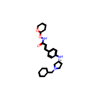 O=C(C=Cc1ccc(N[C@@H]2CCN(CC3CCCCC3)C2)cc1)NOC1CCCCO1